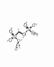 CCCS(=O)(=O)OCS(=O)(=O)OCC